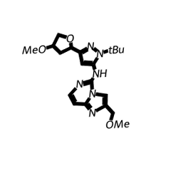 COCc1cn2c(Nc3cc(C4CC(OC)CO4)nn3C(C)(C)C)nccc2n1